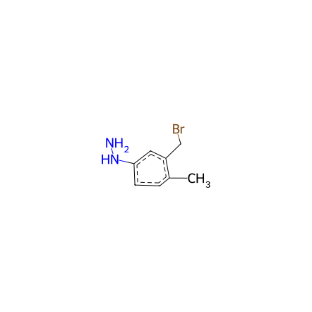 Cc1ccc(NN)cc1CBr